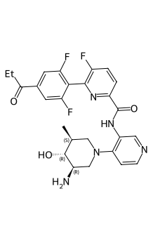 CCC(=O)c1cc(F)c(-c2nc(C(=O)Nc3cnccc3N3C[C@@H](N)[C@H](O)[C@@H](C)C3)ccc2F)c(F)c1